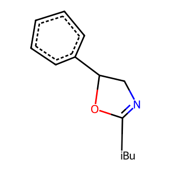 CCC(C)C1=NCC(c2ccccc2)O1